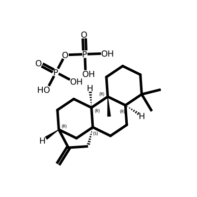 C=C1C[C@@]23CC[C@@H]4C(C)(C)CCC[C@@]4(C)[C@@H]2CC[C@@H]1C3.O=P(O)(O)OP(=O)(O)O